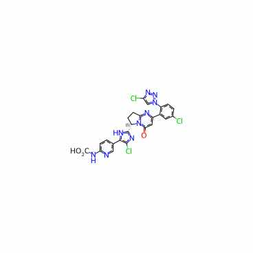 O=C(O)Nc1ccc(-c2[nH]c([C@@H]3CCc4nc(-c5cc(Cl)ccc5-n5cc(Cl)nn5)cc(=O)n43)nc2Cl)cn1